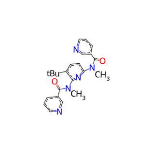 CN(C(=O)c1cccnc1)c1ccc(C(C)(C)C)c(N(C)C(=O)c2cccnc2)n1